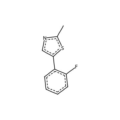 Cc1ncc(-c2ccccc2F)s1